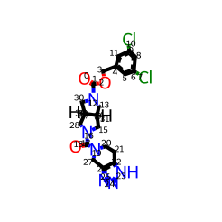 O=C(OCc1cc(Cl)cc(Cl)c1)N1C[C@@H]2CN(C(=O)N3CCc4[nH]nnc4C3)C[C@@H]2C1